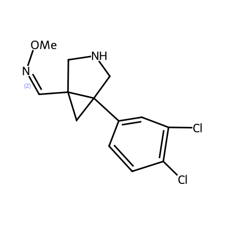 CO/N=C\C12CNCC1(c1ccc(Cl)c(Cl)c1)C2